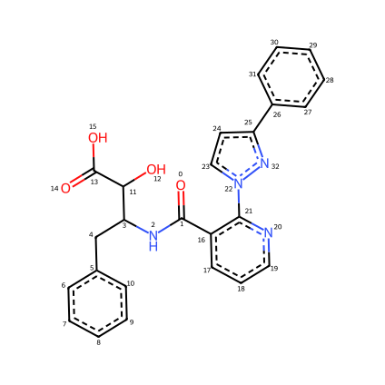 O=C(NC(Cc1ccccc1)C(O)C(=O)O)c1cccnc1-n1ccc(-c2ccccc2)n1